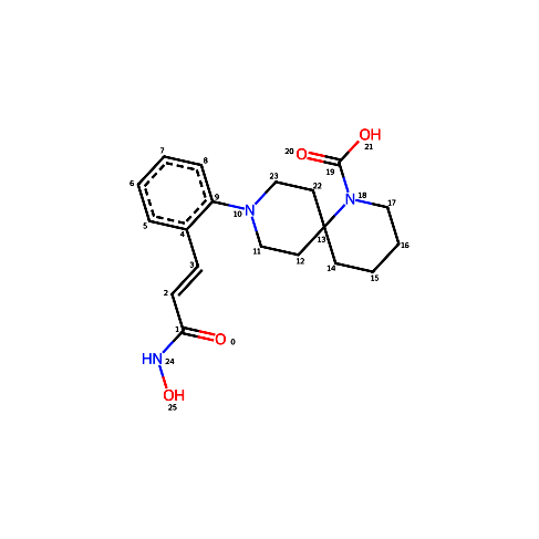 O=C(C=Cc1ccccc1N1CCC2(CCCCN2C(=O)O)CC1)NO